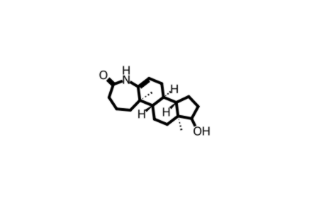 C[C@]12CCCC(=O)NC1=CC[C@@H]1[C@@H]2CC[C@]2(C)C(O)CC[C@@H]12